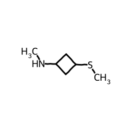 CNC1CC(SC)C1